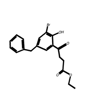 CCOC(=O)CCC(=O)c1cc(Cc2ccccc2)cc(Br)c1O